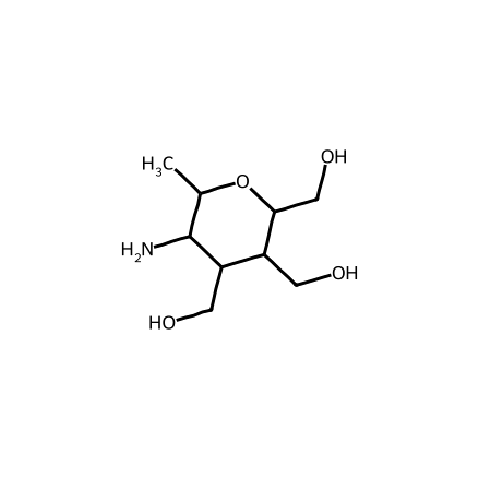 CC1OC(CO)C(CO)C(CO)C1N